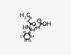 CCCC(=O)NC(CCCC(=O)O)c1ccccc1